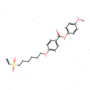 C=CS(=O)(=O)CCCCCCOc1ccc(C(=O)Oc2ccc(OC)cc2)cc1